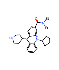 CCN(CC)C(=O)c1ccc(C(=C2CCNCC2)c2ccccc2NC2CCCC2)cc1